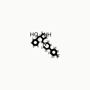 OC(c1ccccc1)C1CNCC1CN1CCC(c2ccc(F)cc2)CC1